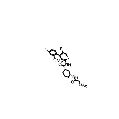 COc1cc(F)ccc1-c1cc(NC(=O)[C@H]2CCC[C@@H](NC(=O)COC(C)=O)C2)ncc1F